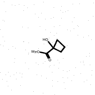 COC(=O)C1(O)CCC1